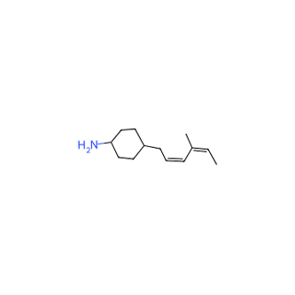 C/C=C(C)\C=C/CC1CCC(N)CC1